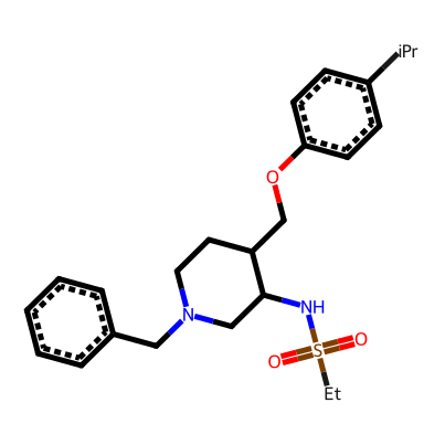 CCS(=O)(=O)NC1CN(Cc2ccccc2)CCC1COc1ccc(C(C)C)cc1